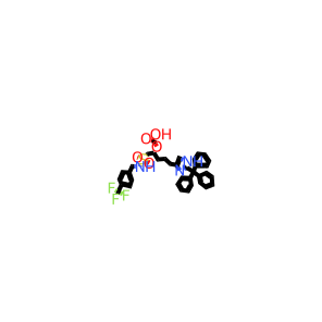 O=C(O)OC(CCCc1c[nH]c(C(c2ccccc2)(c2ccccc2)c2ccccc2)n1)CS(=O)(=O)NCc1ccc(C(F)(F)F)cc1